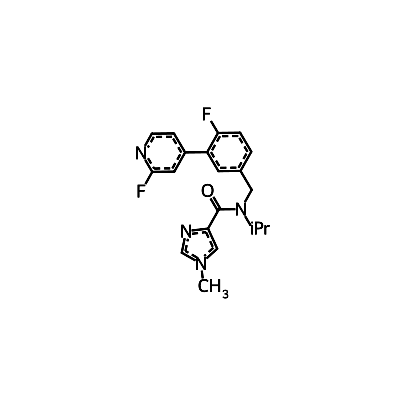 CC(C)N(Cc1ccc(F)c(-c2ccnc(F)c2)c1)C(=O)c1cn(C)cn1